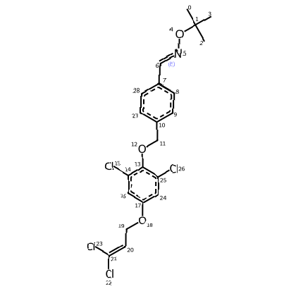 CC(C)(C)O/N=C/c1ccc(COc2c(Cl)cc(OCC=C(Cl)Cl)cc2Cl)cc1